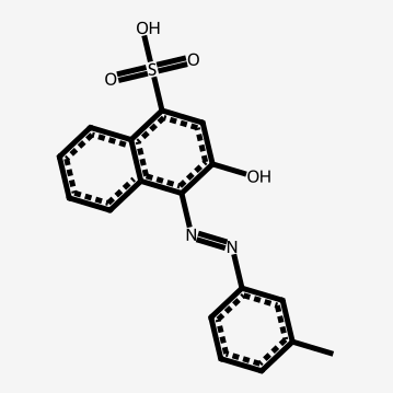 Cc1cccc(N=Nc2c(O)cc(S(=O)(=O)O)c3ccccc23)c1